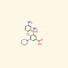 Nc1ccc(Oc2c(N3CCCCC3)cc(C(=O)O)cc2S(N)(=O)=O)cc1